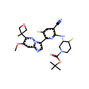 COc1cc2ncc(-c3nc(N[C@H]4CN(C(=O)OC(C)(C)C)CC[C@@H]4F)c(C#N)cc3F)n2nc1C1(C)COC1